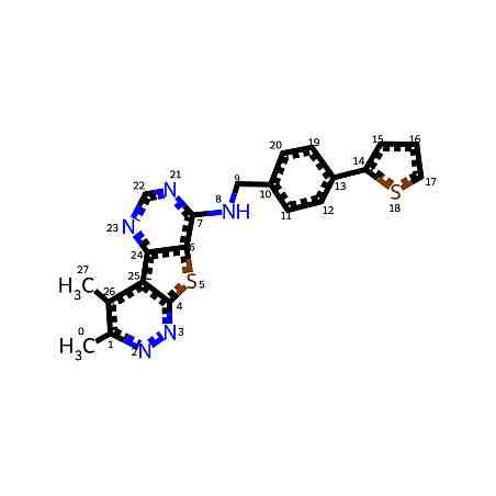 Cc1nnc2sc3c(NCc4ccc(-c5cccs5)cc4)ncnc3c2c1C